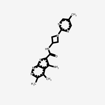 Cc1cnc(N2CC(NC(=O)c3sc4nnc(C)c(C)c4c3N)C2)nc1